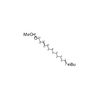 CCCC/C=C/CCCCCCCC/C=C/CCOCOC